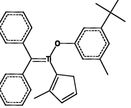 CC1=[C]([Ti]([O]c2cc(C)cc(C(C)(C)C)c2)=[C](c2ccccc2)c2ccccc2)CC=C1